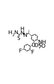 CC(=NNC(N)=S)c1ccc(NS(C)(=O)=O)c(Oc2ccc(F)cc2F)c1